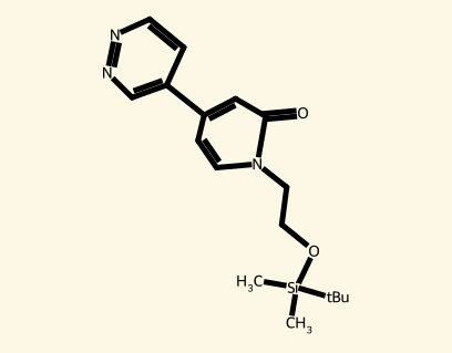 CC(C)(C)[Si](C)(C)OCCn1ccc(-c2ccnnc2)cc1=O